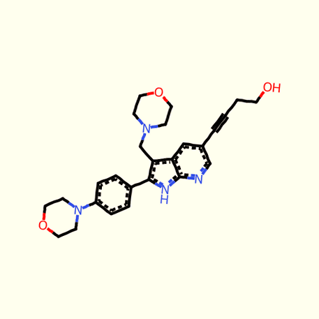 OCCC#Cc1cnc2[nH]c(-c3ccc(N4CCOCC4)cc3)c(CN3CCOCC3)c2c1